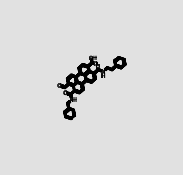 O=Cc1ccc2c3ccc(C(=O)O)c4c(C(=O)NCCc5ccccc5)ccc(c5ccc(C(=O)NCc6ccccc6)c1c25)c43